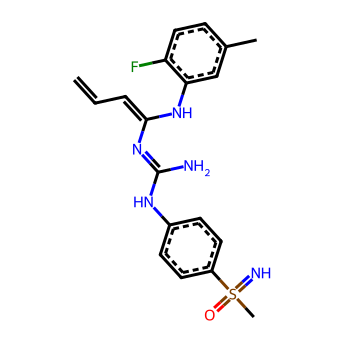 C=C/C=C(\N=C(/N)Nc1ccc(S(C)(=N)=O)cc1)Nc1cc(C)ccc1F